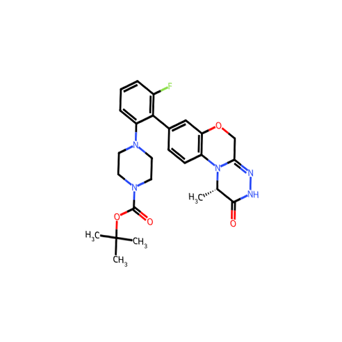 C[C@H]1C(=O)NN=C2COc3cc(-c4c(F)cccc4N4CCN(C(=O)OC(C)(C)C)CC4)ccc3N21